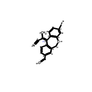 C/C(C#N)=C1/c2ccc(C=O)cc2COc2cc(F)ccc21